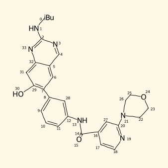 CCC(C)Nc1ncc2cc(-c3cccc(NC(=O)c4ccnc(N5CCOCC5)c4)c3)c(O)cc2n1